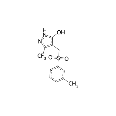 Cc1cccc(S(=O)(=O)Cc2c(C(F)(F)F)n[nH]c2O)c1